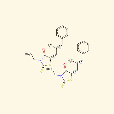 CC(=C\c1ccccc1)/C=C1/SC(=S)N(CC(=O)O)C1=O.CC(=C\c1ccccc1)/C=C1/SC(=S)N(CC(=O)O)C1=O